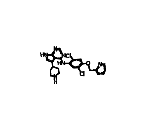 Clc1cc(OCc2ccccn2)c(Cl)cc1Nc1ncnc2[nH]cc(C3CCNCC3)c12